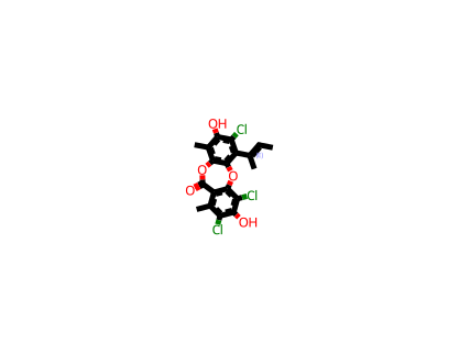 C/C=C(\C)c1c(Cl)c(O)c(C)c2c1Oc1c(Cl)c(O)c(Cl)c(C)c1C(=O)O2